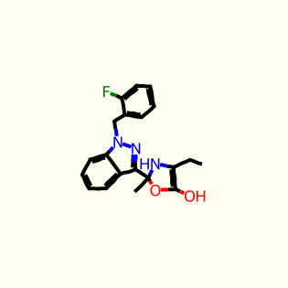 CCC1=C(O)OC(C)(c2nn(Cc3ccccc3F)c3ccccc23)N1